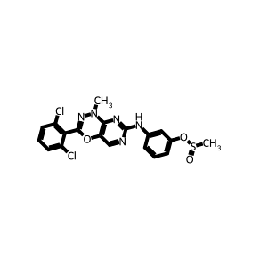 CN1N=C(c2c(Cl)cccc2Cl)Oc2cnc(Nc3cccc(OS(C)=O)c3)nc21